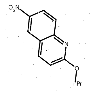 CCCOc1ccc2cc([N+](=O)[O-])ccc2n1